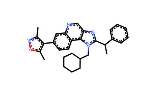 Cc1noc(C)c1-c1ccc2c(c1)ncc1nc(C(C)c3ccccc3)n(CC3CCCCC3)c12